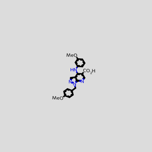 COc1ccc(Cn2ncc3c(Nc4cccc(OC)c4)c(C(=O)O)cnc32)cc1